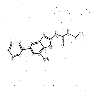 CCNC(=O)Nc1nc2cc(-c3cccnc3)cc(N)c2[nH]1